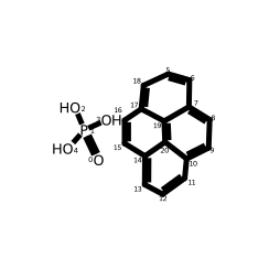 O=P(O)(O)O.c1cc2ccc3cccc4ccc(c1)c2c34